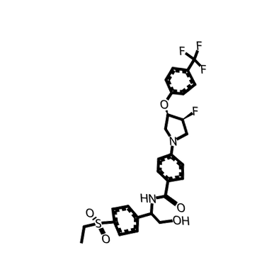 CCS(=O)(=O)c1ccc(C(CO)NC(=O)c2ccc(N3C[C@H](Oc4ccc(C(F)(F)F)cc4)[C@@H](F)C3)cc2)cc1